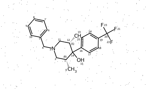 C[C@@H]1CN(Cc2ccccc2)C[C@H](C)C1(O)c1ccc(C(F)(F)F)cc1